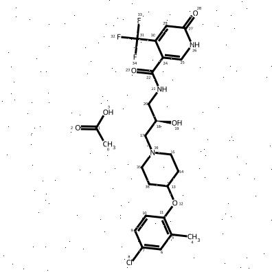 CC(=O)O.Cc1cc(Cl)ccc1OC1CCN(C[C@H](O)CNC(=O)c2c[nH]c(=O)cc2C(F)(F)F)CC1